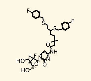 CC(C)(CCC(CCSCc1ccc(F)cc1)SCc1ccc(F)cc1)CC(=O)Nc1ccn([C@@H]2O[C@H](CO)[C@@](C)(CO)C2(F)F)c(=O)n1